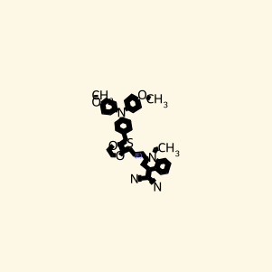 CCN1C(/C=C/c2sc(-c3ccc(N(c4ccc(OC)cc4)c4ccc(OC)cc4)cc3)c3c2OCCO3)=CC(=C(C#N)C#N)c2ccccc21